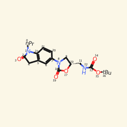 CCCN1C(=O)Cc2cc(N3C[C@H](CNC(=O)OC(C)(C)C)OC3=O)ccc21